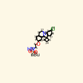 CCCCS(=O)(=O)NCCOc1ccc2c(c1)C(C1(c3ccc(Cl)cc3)CCC1)=NCC2